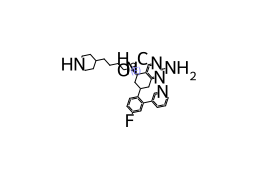 Cc1nc(N)nc2c1/C(=N/OCCCC1CCNCC1)CC(c1ccc(F)cc1-c1cccnc1)C2